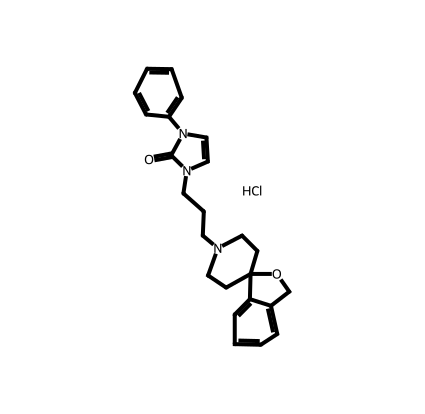 Cl.O=c1n(CCCN2CCC3(CC2)OCc2ccccc23)ccn1-c1ccccc1